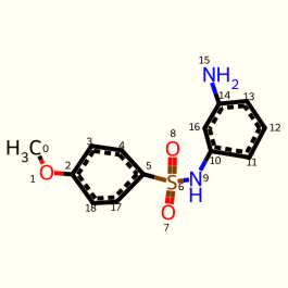 COc1ccc(S(=O)(=O)Nc2cccc(N)c2)cc1